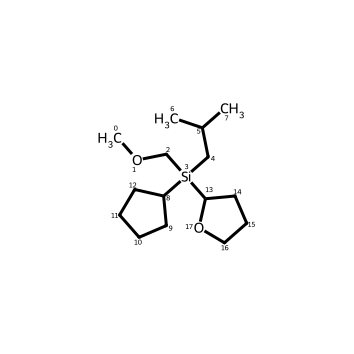 COC[Si](CC(C)C)(C1CCCC1)C1CCCO1